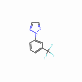 FC(F)(F)c1cc[c]c(-n2nccn2)c1